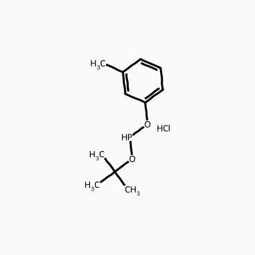 Cc1cccc(OPOC(C)(C)C)c1.Cl